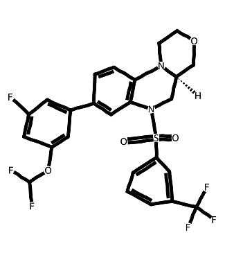 O=S(=O)(c1cccc(C(F)(F)F)c1)N1C[C@@H]2COCCN2c2ccc(-c3cc(F)cc(OC(F)F)c3)cc21